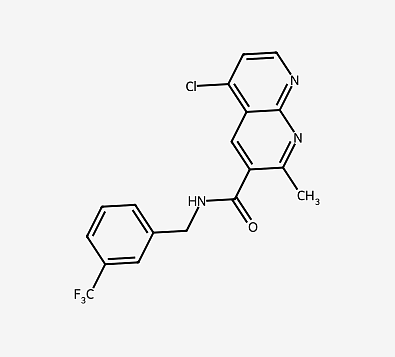 Cc1nc2nccc(Cl)c2cc1C(=O)NCc1cccc(C(F)(F)F)c1